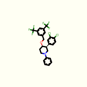 FC(F)(F)c1cc(CO[C@@H]2CCN(c3ccccc3)C[C@@H]2c2ccc(Cl)c(Cl)c2)cc(C(F)(F)F)c1